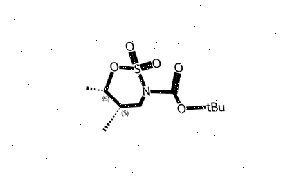 C[C@@H]1OS(=O)(=O)N(C(=O)OC(C)(C)C)C[C@@H]1C